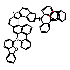 c1ccc(-c2ccccc2N(c2ccc3c(ccc4oc5ccc6cc(N(c7ccccc7-c7ccccc7)c7cccc8c7oc7ccccc78)ccc6c5c43)c2)c2cccc3c2oc2ccccc23)cc1